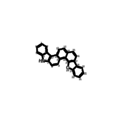 c1ccc2c(c1)[nH]c1ccc3c(ccc4ccc5c6ccccc6oc5c43)c12